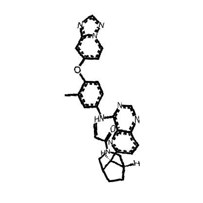 C=CC(=O)N1CC2CC[C@@H](C1)[C@@H]2c1ccc2ncnc(Nc3ccc(Oc4ccn5ncnc5c4)c(C)c3)c2n1